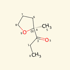 CCC(=O)[C@]1(C)CCCO1